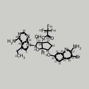 CCc1cn([C@@H]2O[C@@H]3[C@@H](Oc4ccc5cc(Br)c(N)nc5c4)CC[C@]3(OC(=O)C(F)(F)F)[C@H]2O)c2ncnc(N)c12